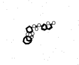 O=C(Oc1ccc2ccc(=O)oc2c1)OC1CCCC2(C1)OOC1(O2)C2CCCCCC1CC2